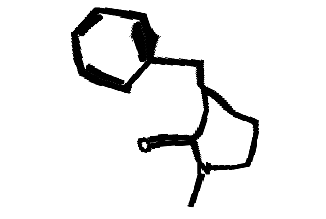 CN1CCC(Cc2ccccc2)C1=O